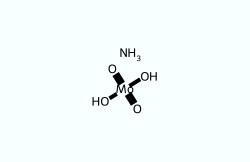 N.[O]=[Mo](=[O])([OH])[OH]